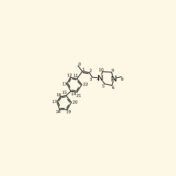 CC(=CCN1CCN(C)CC1)c1ccc(-c2ccccc2)cc1